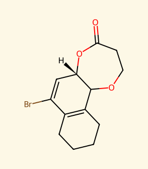 O=C1CCOC2C3=C(CCCC3)C(Br)=C[C@@H]2O1